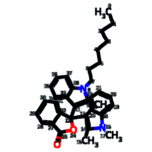 CCCCCCCCn1c(C)c(C2(c3c(C)n(C)c4ccccc34)OC(=O)c3ccccc32)c2ccccc21